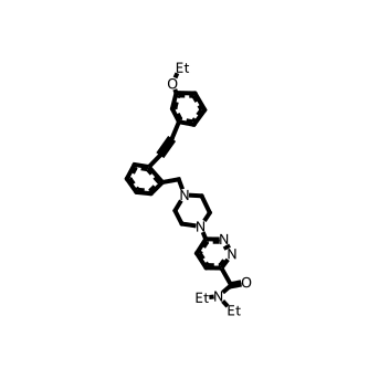 CCOc1cccc(C#Cc2ccccc2CN2CCN(c3ccc(C(=O)N(CC)CC)nn3)CC2)c1